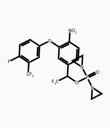 O=[N+]([O-])c1ccc(C(OP(=O)(N2CC2)N2CC2)C(F)(F)F)cc1Oc1ccc(F)c(C(F)(F)F)c1